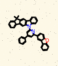 CC1(C)c2ccccc2-c2cc3c(cc21)c1ccccc1n3-c1cc(-c2ccccc2)cc(-c2ccc3oc4ccccc4c3c2)n1